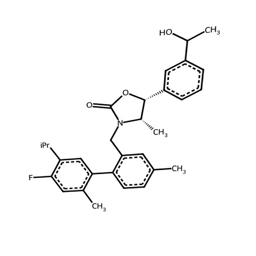 Cc1ccc(-c2cc(C(C)C)c(F)cc2C)c(CN2C(=O)O[C@H](c3cccc(C(C)O)c3)[C@@H]2C)c1